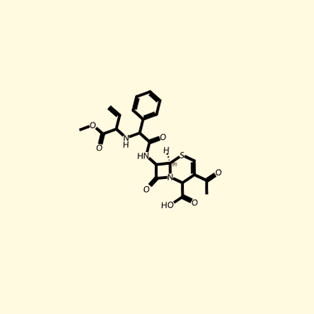 C=CC(NC(C(=O)NC1C(=O)N2C(C(=O)O)C(C(C)=O)=CS[C@H]12)c1ccccc1)C(=O)OC